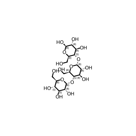 OC[C@H]1O[C@H](O[C@H]2[C@H](O)[C@@H](O)[C@@H](O[C@H]3[C@H](O)[C@@H](O)[C@H](O)O[C@@H]3CO)O[C@@H]2CO)[C@H](O)[C@@H](O)[C@@H]1O